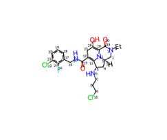 CCN1C[C@@H]2C[C@@H](NCCCCl)C3=C(C(=O)NCc4cccc(Cl)c4F)CC(O)=C(C1=O)N32